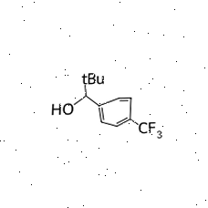 CC(C)(C)C(O)c1ccc(C(F)(F)F)cc1